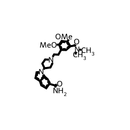 COc1cc(OC)c(C(=O)N(C)C)cc1CCN1CCC(n2ccc3ccc(C(N)=O)cc32)CC1